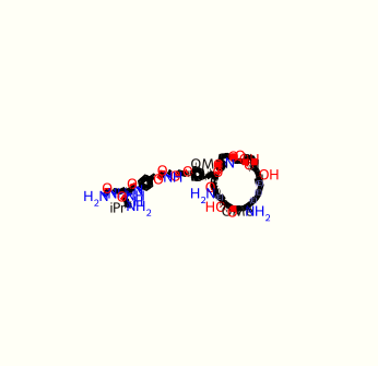 CO[C@@H]1C[C@@H](C[C@H](C)[C@@H]2CC(=O)[C@H](N)/C=C(\C)[C@@H](O)[C@@H](OC)C(=O)[C@H](C)C[C@H](N)/C=C/C=C/C=C(\C)[C@@H](O)C[C@@H]3CC[C@@H](C)[C@@](O)(O3)C(=O)C(=O)N3CCCC[C@H]3C(=O)O2)CC[C@H]1OCCOCNC(=O)OCc1ccc(NC(=O)[C@H](CCCNC(N)=O)NC(=O)[C@@H](N)C(C)C)cc1